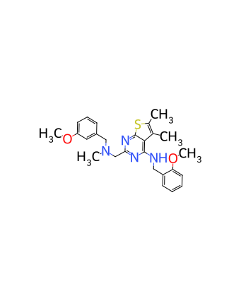 COc1cccc(CN(C)Cc2nc(NCc3ccccc3OC)c3c(C)c(C)sc3n2)c1